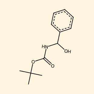 CC(C)(C)OC(=O)NC(O)c1ccccc1